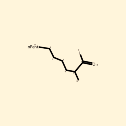 CCCCCCCCCC(C)C(=O)I